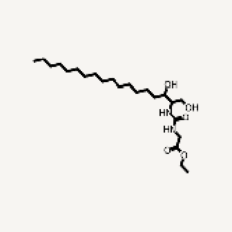 CCCCCCCCCCCCCCCC(O)C(CO)NC(=O)NCC(=O)OCC